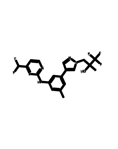 Cc1cc(Nc2nccc(C(F)F)n2)cc(-c2cnn(CC(C)(O)C(F)(F)F)c2)c1